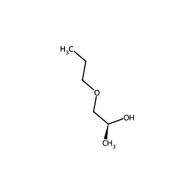 CCCOC[C@H](C)O